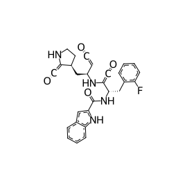 O=C=C[C@H](C[C@@H]1CCNC1=C=O)NC(=C=O)[C@H](Cc1ccccc1F)NC(=O)c1cc2ccccc2[nH]1